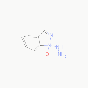 NN[N+]1([O-])N=Cc2ccccc21